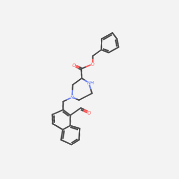 O=Cc1c(CN2CCNC(C(=O)OCc3ccccc3)C2)ccc2ccccc12